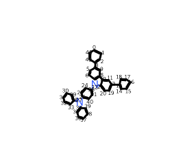 c1ccc(-c2ccc3c(c2)c2cc(-c4ccccc4)ccc2n3-c2ccc(N(c3ccccc3)c3ccccc3)cc2)cc1